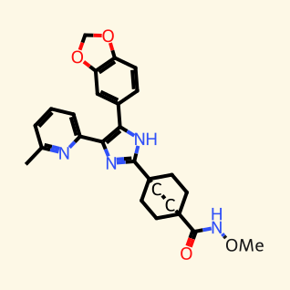 CONC(=O)C12CCC(c3nc(-c4cccc(C)n4)c(-c4ccc5c(c4)OCO5)[nH]3)(CC1)CC2